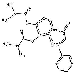 CN(C)C(=O)Oc1ccc2c(=O)cc(C3=CCCC=C3)oc2c1OC(=O)N(C)C